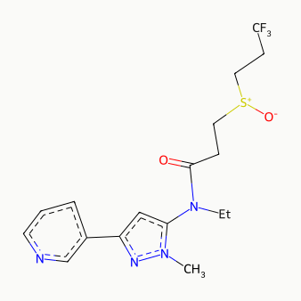 CCN(C(=O)CC[S+]([O-])CCC(F)(F)F)c1cc(-c2cccnc2)nn1C